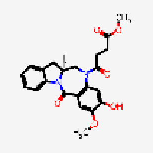 COC(=O)CCC(=O)N1C[C@@H]2Cc3ccccc3N2C(=O)c2cc(OC)c(O)cc21